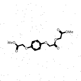 COC(=O)COC(=O)COc1ccc(OCC(=O)OC)cc1